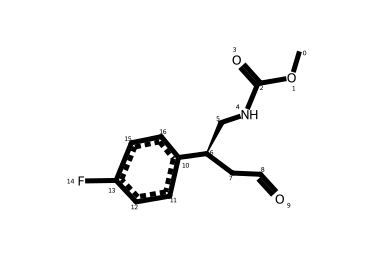 COC(=O)NC[C@@H](CC=O)c1ccc(F)cc1